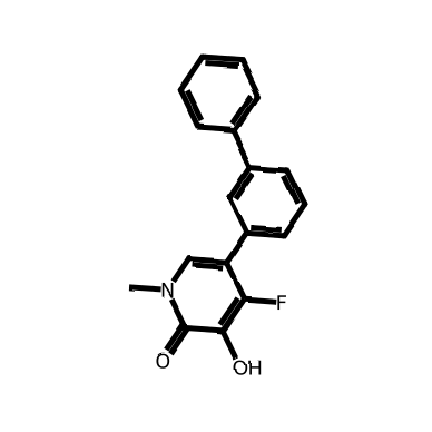 Cn1cc(-c2cccc(-c3ccccc3)c2)c(F)c(O)c1=O